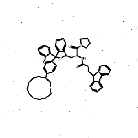 O=C(C[C@H](NC(=O)OCC1c2ccccc2-c2ccccc21)C(=O)N1CCCC1)OC(c1ccccc1)(c1ccc(C2CCCCCCCCCCC2)cc1)c1ccccc1Cl